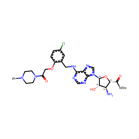 CNC(=O)[C@H]1O[C@H](n2cnc3c(NCc4cc(Cl)ccc4OCC(=O)N4CCN(C(C)C)CC4)ncnc32)[C@@H](O)[C@@H]1N